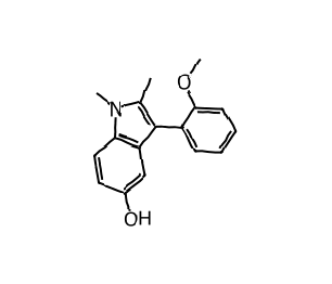 COc1ccccc1-c1c(C)n(C)c2ccc(O)cc12